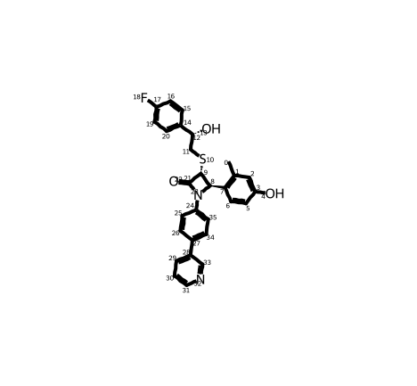 Cc1cc(O)ccc1[C@@H]1[C@@H](SC[C@@H](O)c2ccc(F)cc2)C(=O)N1c1ccc(-c2cccnc2)cc1